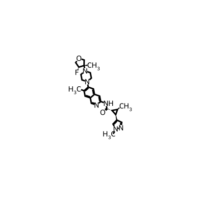 Cc1cc2cnc(NC(=O)[C@@H]3[C@@H](C)[C@H]3c3cnn(C)c3)cc2cc1N1CCN([C@@]2(C)COC[C@H]2F)CC1